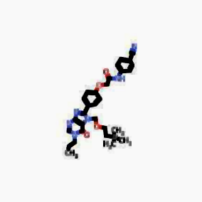 CCCn1cnc2nc(-c3ccc(OCC(=O)Nc4ccc(C#N)cc4)cc3)n(COCC[Si](C)(C)C)c2c1=O